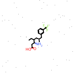 CCC(CC(C)Cc1cccc(C(F)(F)F)c1)C(N)CC(=O)O